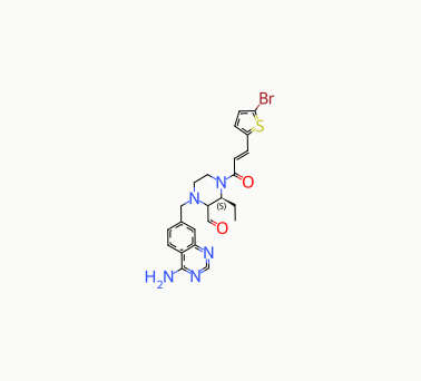 CC[C@H]1C(C=O)N(Cc2ccc3c(N)ncnc3c2)CCN1C(=O)C=Cc1ccc(Br)s1